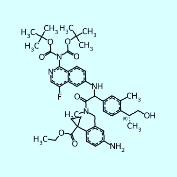 CCOC(=O)C1(c2ccc(N)cc2CN(C)C(=O)C(Nc2ccc3c(N(C(=O)OC(C)(C)C)C(=O)OC(C)(C)C)ncc(F)c3c2)c2ccc([C@@H](C)CO)c(C)c2)CC1